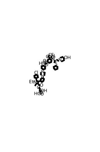 CCn1c(C)c(C(=O)OCCP(=O)(O)O)c(-c2cccc(N3CCN(c4ccc(NS(=O)(=O)c5ccc(N[C@H](CCN6CCC(O)CC6)CSc6ccccc6)c(S(=O)(=O)C(F)(F)F)c5)cc4)CC3)c2)c1-c1ccc(Cl)cc1